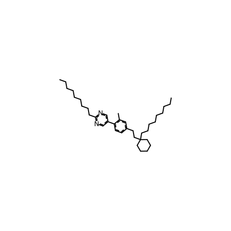 CCCCCCCCCc1ncc(-c2ccc(CCC3(CCCCCCCCC)CCCCC3)cc2C)cn1